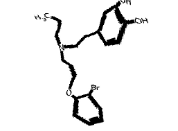 CCCN(CCOc1ccccc1Br)CCc1ccc(O)c(O)c1